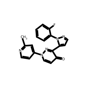 Cc1cc(-n2ccc(=O)c(-c3ccnn3-c3ccccc3F)n2)ccn1